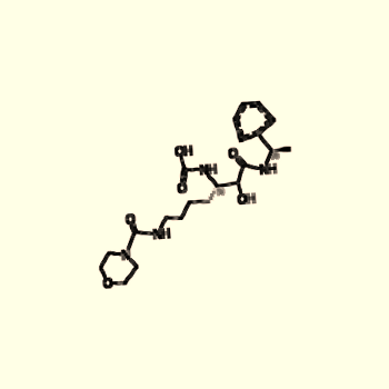 C[C@@H](NC(=O)C(O)[C@H](CCCCNC(=O)N1CCOCC1)NC(=O)O)c1ccccc1